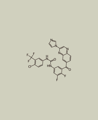 O=C(Nc1cc(F)c(F)c(C(=O)c2ccc3ncc(-n4ccnc4)nc3c2)c1)Nc1ccc(Cl)c(C(F)(F)F)c1